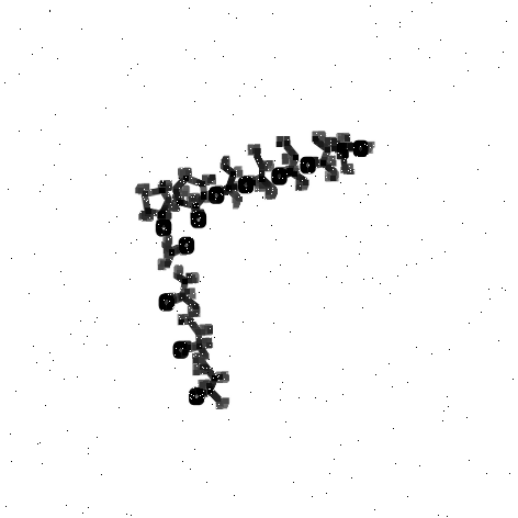 CC(C)=O.CCC(C)=O.CCC(C)=O.CCC(C)=O.CCC(C)=O.CCC(C)=O.CCC(C)=O.CCC(C)=O.C[S+](C)[O-].O=C1CCCC1.O=C1CCCCC1